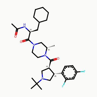 CC(=O)N[C@@H](CC1CCCCC1)C(=O)N1CCN(C(=O)[C@@H]2CN(C(C)(C)C)C[C@H]2c2ccc(F)cc2F)[C@@H](C)C1